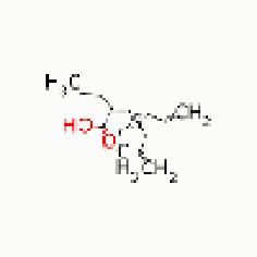 C=CC[Si](C=C(CCC)C(=O)O)(CC)CC=C